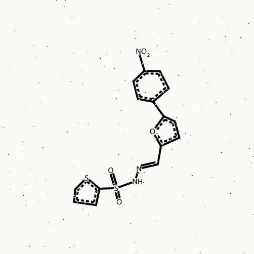 O=[N+]([O-])c1ccc(-c2ccc(C=NNS(=O)(=O)c3cccs3)o2)cc1